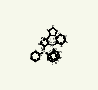 c1ccc(P(c2ccccc2)c2csc(C3CCCC3)c2P(c2ccccc2)c2ccccc2)cc1